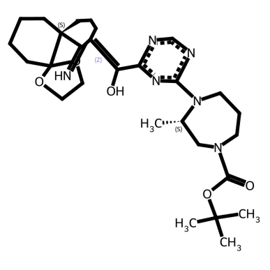 C[C@H]1CN(C(=O)OC(C)(C)C)CCCN1c1ncnc(/C(O)=C2\CCC[C@@]3(CCCCC34OCCO4)C2=N)n1